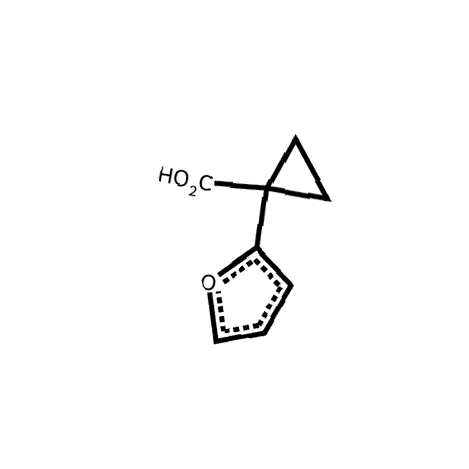 O=C(O)C1(c2ccco2)CC1